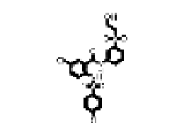 O=C(Nc1cccc(S(=O)(=O)CCO)c1)c1cc(Cl)ccc1NS(=O)(=O)c1ccc(Cl)cc1